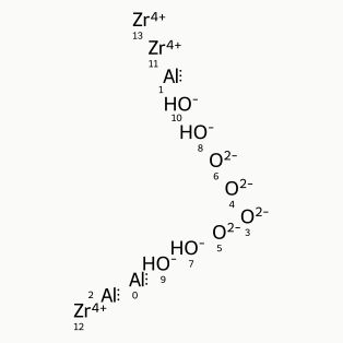 [Al].[Al].[Al].[O-2].[O-2].[O-2].[O-2].[OH-].[OH-].[OH-].[OH-].[Zr+4].[Zr+4].[Zr+4]